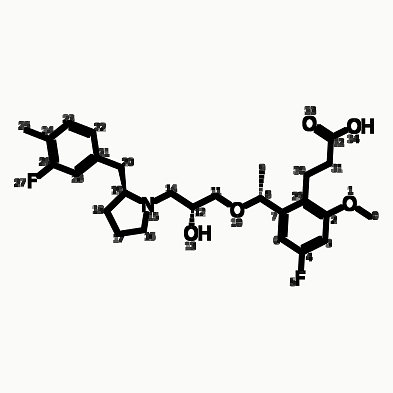 COc1cc(F)cc([C@@H](C)OC[C@H](O)CN2CCC[C@H]2Cc2ccc(C)c(F)c2)c1CCC(=O)O